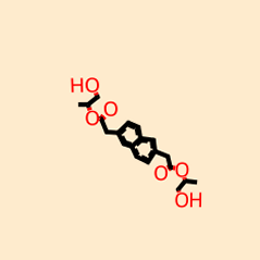 CC(CO)OC(=O)Cc1ccc2cc(CC(=O)OC(C)CO)ccc2c1